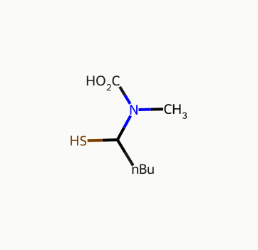 CCCCC(S)N(C)C(=O)O